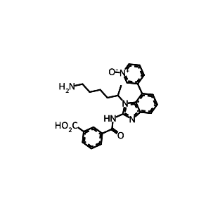 CC(CCCCN)n1c(NC(=O)c2cccc(C(=O)O)c2)nc2cccc(-c3ccc[n+]([O-])c3)c21